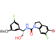 COc1cc(F)cc([C@@H](CO)NC(=O)N2CCc3cc(Br)c(F)cc32)c1